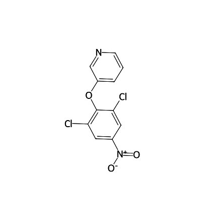 O=[N+]([O-])c1cc(Cl)c(Oc2cccnc2)c(Cl)c1